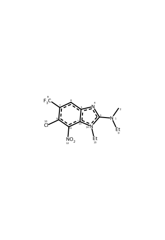 CCN(C)c1nc2cc(C(F)(F)F)c(Cl)c([N+](=O)[O-])c2n1CC